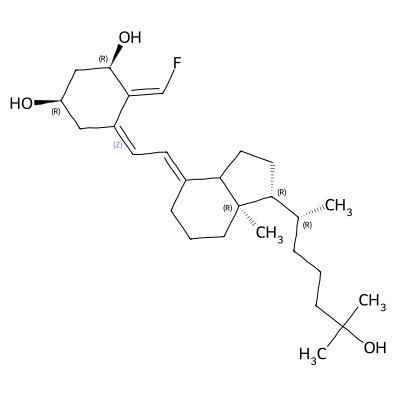 C[C@H](CCCC(C)(C)O)[C@H]1CCC2C(=C/C=C3/C[C@@H](O)C[C@@H](O)C3=CF)CCC[C@@]21C